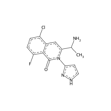 CC(N)c1cc2c(Cl)ccc(F)c2c(=O)n1-c1cc[nH]n1